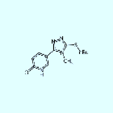 CCCCSc1nnc(-c2ccc(=O)[nH]c2)n1C